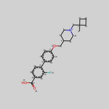 CC1(CN2CCC(COc3ccc(-c4ccc(C(=O)O)cc4F)cc3)CC2)CCC1